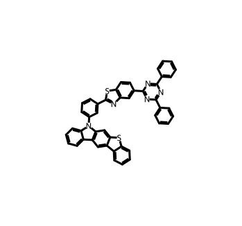 c1ccc(-c2nc(-c3ccccc3)nc(-c3ccc4sc(-c5cccc(-n6c7ccccc7c7cc8c(cc76)sc6ccccc68)c5)nc4c3)n2)cc1